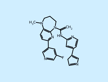 C=C(Nc1cc(C2=CN=CC2)ccn1)N1CCCN(C)c2ccc(-c3cncc(F)c3)nc21